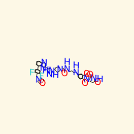 N=C/C(=C\NC1CCN(CC(=O)NCCCNc2ccc3c(c2)C(=O)N(C2CCC(=O)NC2=O)C3=O)CC1)c1cnc2cccc(-c3cc(F)c(CN4CCOCC4)c(F)c3)c2n1